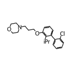 CC(C)c1c(OCCCN2CCOCC2)cccc1-c1ccccc1Cl